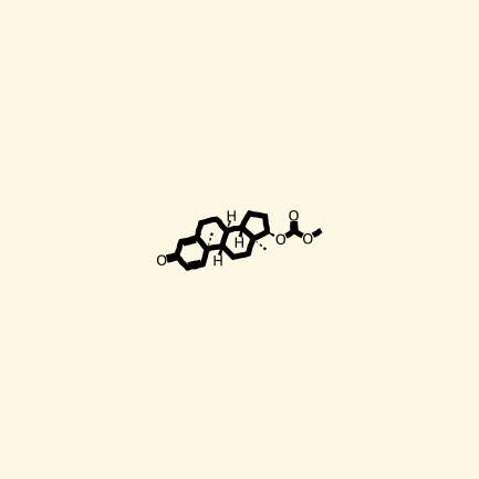 COC(=O)O[C@H]1CC[C@H]2[C@@H]3CCC4=CC(=O)C=C[C@]4(C)[C@H]3CC[C@]12C